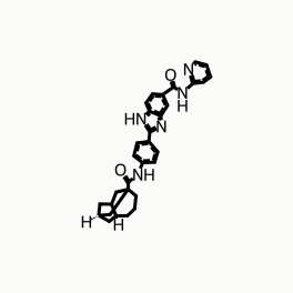 O=C(Nc1ccccn1)c1ccc2[nH]c(-c3ccc(NC(=O)C45CCC[C@H]6C[C@@H](CC6C4)C5)cc3)nc2c1